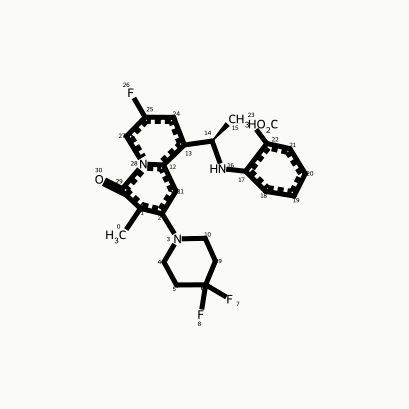 Cc1c(N2CCC(F)(F)CC2)cc2c([C@@H](C)Nc3ccccc3C(=O)O)cc(F)cn2c1=O